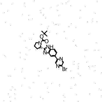 CC(C)(C)OC(=O)N1CCC[C@H]1c1nc2cc(-c3cnc(Br)cn3)ccc2[nH]1